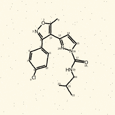 Cc1onc(-c2ccc(Cl)cc2)c1-c1ccn(C(=O)NCC(C)C)n1